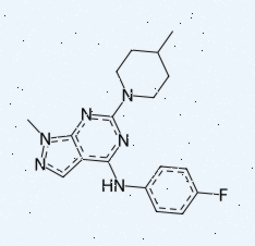 CC1CCN(c2nc(Nc3ccc(F)cc3)c3cnn(C)c3n2)CC1